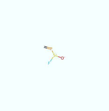 C=P[S+]([O-])F